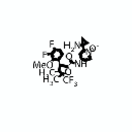 COc1c([C@H]2[C@H](C(=O)Nc3cc[n+]([O-])c(C4(N)CC4)c3)O[C@@](C)(C(F)(F)F)[C@H]2C)ccc(F)c1F